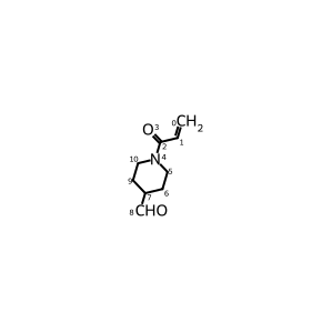 C=CC(=O)N1CCC(C=O)CC1